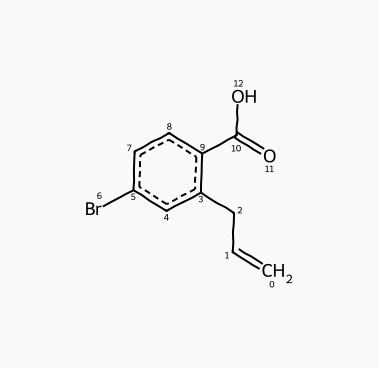 C=CCc1cc(Br)ccc1C(=O)O